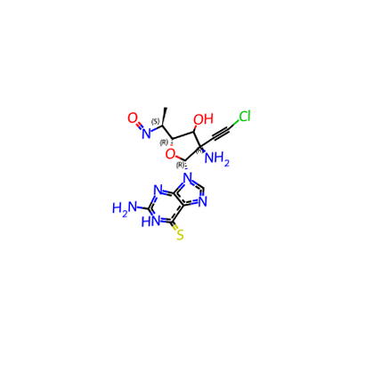 C[C@H](N=O)[C@H]1O[C@@H](n2cnc3c(=S)[nH]c(N)nc32)[C@@](N)(C#CCl)C1O